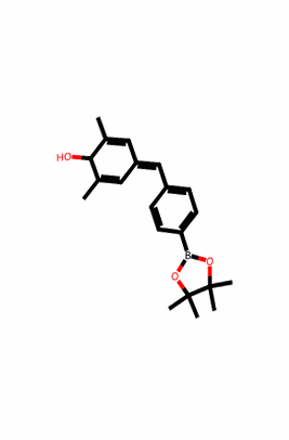 CC1=CC(=Cc2ccc(B3OC(C)(C)C(C)(C)O3)cc2)C=C(C)C1O